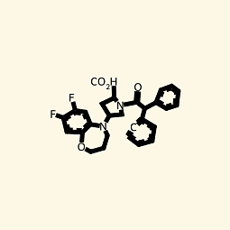 O=C(O)C1CC(N2CCCOc3cc(F)c(F)cc32)CN1C(=O)C(c1ccccc1)c1ccccc1